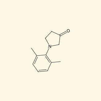 Cc1cccc(C)c1N1CCC(=O)C1